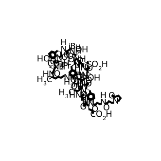 CC[C@H](C)[C@H](NC(=O)[C@H](CO)NC(=O)[C@H](Cc1ccc(O)cc1)NC(=O)[C@H](CC(=O)O)NC(=O)[C@H](CO)NC(=O)[C@@H](NC(=O)[C@H](Cc1ccccc1)NC(=O)[C@@H](NC(=O)CNC(=O)[C@H](CCC(=O)O)NC(=O)CCNC(=O)CCN1CCCC1=O)[C@@H](C)O)[C@@H](C)O)C(=O)N[C@@H](Cc1ccc(O)cc1)C(=O)N[C@@H](CC(C)C)C(=O)N[C@@H](CC(=O)O)C(=O)N[C@H](C)CCCCN